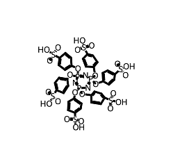 O=S(=O)(O)c1ccc(OP2(Oc3ccc(S(=O)(=O)O)cc3)=NP(Oc3ccc(S(=O)(=O)O)cc3)(Oc3ccc(S(=O)(=O)O)cc3)=NP(Oc3ccc(S(=O)(=O)O)cc3)(Oc3ccc(S(=O)(=O)O)cc3)=N2)cc1